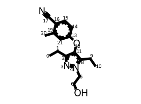 CCc1nn(CCO)c(CC)c1Oc1ccc(C#N)c(C)c1